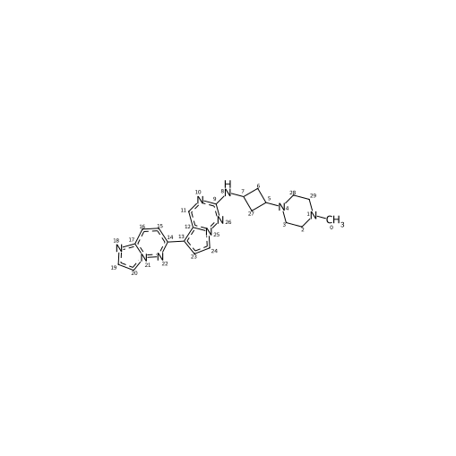 CN1CCN(C2CC(Nc3ncc4c(-c5ccc6nccn6n5)ccn4n3)C2)CC1